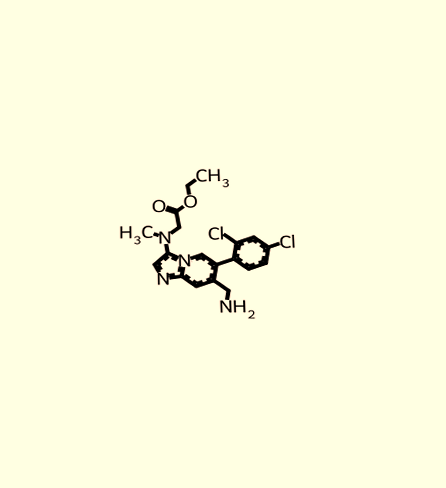 CCOC(=O)CN(C)c1cnc2cc(CN)c(-c3ccc(Cl)cc3Cl)cn12